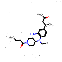 COCCC(=O)N1CCC(N(CC(C)C)c2ccc([C@H](C)CC(=O)OC)cc2N)CC1